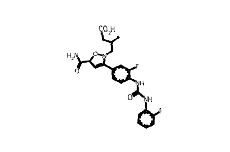 CC(CC(=O)O)CN1OC(C(N)=O)C=C1c1ccc(NC(=O)Nc2ccccc2F)c(F)c1